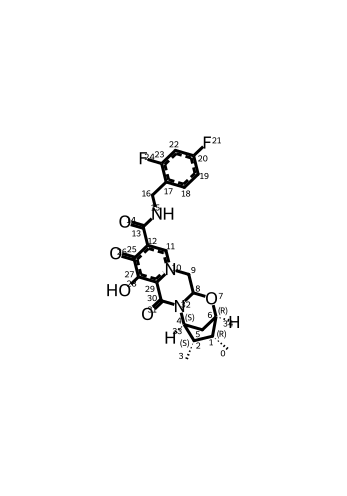 C[C@@H]1[C@H](C)[C@@H]2C[C@H]1OC1Cn3cc(C(=O)NCc4ccc(F)cc4F)c(=O)c(O)c3C(=O)N12